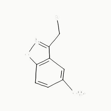 COc1ccc2onc(CBr)c2c1